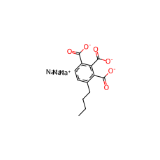 CCCCc1ccc(C(=O)[O-])c(C(=O)[O-])c1C(=O)[O-].[Na+].[Na+].[Na+]